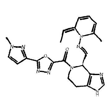 C/C=C1/C=CC=C(C)N1/N=C/[C@H]1c2nc[nH]c2CCN1C(=O)c1nnc(-c2ccn(C)n2)o1